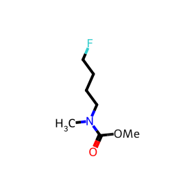 COC(=O)N(C)CCCCF